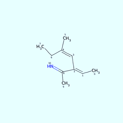 C/C=C(\C=C(\C)CC)C(C)=N